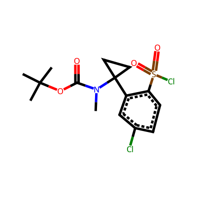 CN(C(=O)OC(C)(C)C)C1(c2cc(Cl)ccc2S(=O)(=O)Cl)CC1